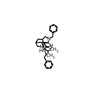 CC(C)CC1C2CNC3(C(=O)NCCc4ccccc4)C(C2)CN(Cc2ccccc2)[C@@H]13